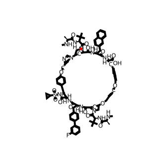 CN[C@@H](C)C(=O)N[C@H](C(=O)N1CC2CC1C(=O)N[C@@H](Cc1ccc(-c3cccc(F)c3)cc1)C(=O)N[C@H](C(=O)NS(=O)(=O)C1CC1)Cc1ccc(cc1)OCc1cn(cn1)C1C[C@@H](C(=O)N[C@@H](Cc3ccc4ccccc4c3)C(=O)N[C@H](C(=O)O)Cc3ccc(cc3)OC/C=C/CO2)N(C(=O)[C@@H](NC(=O)[C@H](C)NC)C(C)(C)C)C1)C(C)(C)C